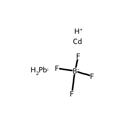 F[B-](F)(F)F.[Cd].[H+].[PbH2]